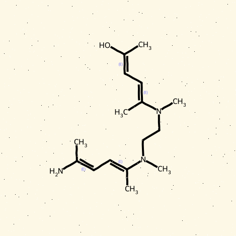 C/C(N)=C\C=C(/C)N(C)CCN(C)/C(C)=C/C=C(\C)O